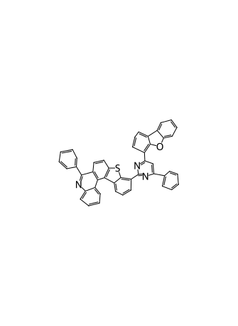 c1ccc(-c2cc(-c3cccc4c3oc3ccccc34)nc(-c3cccc4c3sc3ccc5c(-c6ccccc6)nc6ccccc6c5c34)n2)cc1